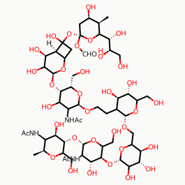 CC(=O)NC1C(O)[C@H](O[C@@H]2OC3CC(O)(O[C@]4(OC=O)C[C@@H](O)[C@@H](C)C([C@H](O)[C@H](O)CO)O4)[C@@H]3[C@H](O)C2O)[C@H](CO)O[C@H]1OCCC1[C@@H](OCC2O[C@@H](O[C@@H]3C(CO)O[C@@H](O[C@@H]4C(CO)O[C@@H](C)C(NC(C)=O)[C@H]4O)C(NC(C)=O)[C@H]3O)C(O)[C@@H](O)[C@@H]2O)OC(CO)[C@@H](O)[C@@H]1O